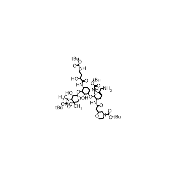 CN(C(=O)OC(C)(C)C)[C@@H]1[C@@H](O)[C@@H](O[C@@H]2[C@@H](O)[C@H](O[C@H]3OC(CN)=CC[C@H]3NC(=O)CC3CN(C(=O)OC(C)(C)C)CCO3)[C@@H](NC(=O)OC(C)(C)C)C[C@H]2NC(=O)[C@@H](O)CCNC(=O)OC(C)(C)C)OC[C@]1(C)O